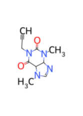 C#CCN1C(=O)C2C(N=CN2C)N(C)C1=O